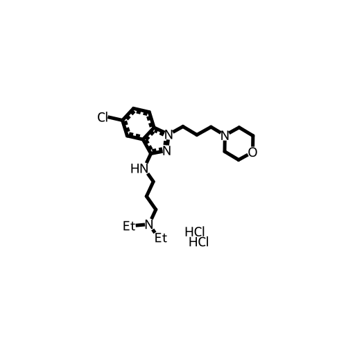 CCN(CC)CCCNc1nn(CCCN2CCOCC2)c2ccc(Cl)cc12.Cl.Cl